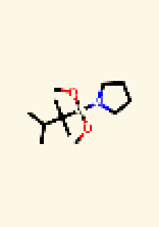 CO[Si](OC)(N1CCCC1)C(C)(C)C(C)C